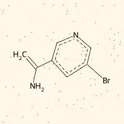 C=C(N)c1cncc(Br)c1